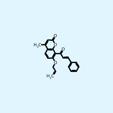 C=CCOc1ccc2c(C)cc(=O)oc2c1C(=O)C=Cc1ccccc1